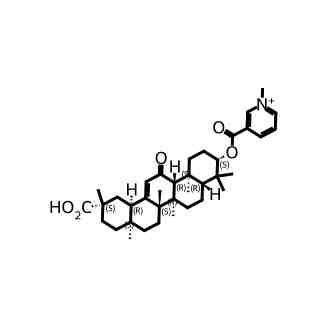 C[n+]1cccc(C(=O)O[C@H]2CC[C@]3(C)[C@H]4C(=O)C=C5[C@@H]6C[C@@](C)(C(=O)O)CC[C@]6(C)CC[C@@]5(C)[C@]4(C)CC[C@H]3C2(C)C)c1